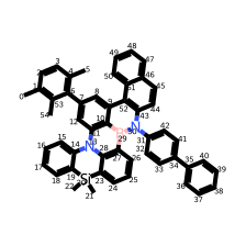 Cc1ccc(C)c(-c2cc3c4c(c2)N2c5ccccc5[Si](C)(C)c5cccc(c52)B4N(c2ccc(-c4ccccc4)cc2)c2ccc4ccccc4c2-3)c1C